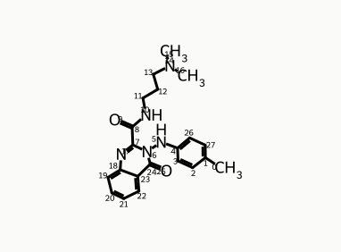 Cc1ccc(Nn2c(C(=O)NCCCN(C)C)nc3ccccc3c2=O)cc1